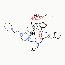 CCN(CCN1CCN(CCN2CCCCC2)CC1)C[C@H]1O[C@@H](C23C[C@@H]4[C@H](C)CC[C@H]4C4CC2C=C(C(C)C)C43C(=O)O)C[C@H]1CC1CCCC1